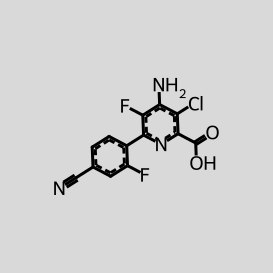 N#Cc1ccc(-c2nc(C(=O)O)c(Cl)c(N)c2F)c(F)c1